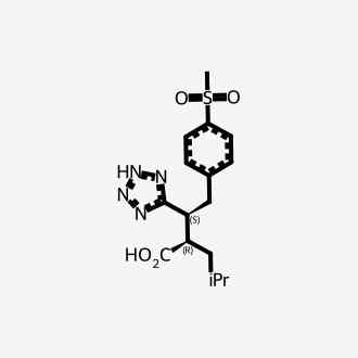 CC(C)C[C@@H](C(=O)O)[C@H](Cc1ccc(S(C)(=O)=O)cc1)c1nn[nH]n1